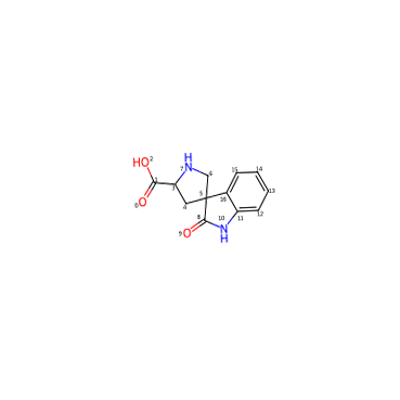 O=C(O)C1CC2(CN1)C(=O)Nc1ccccc12